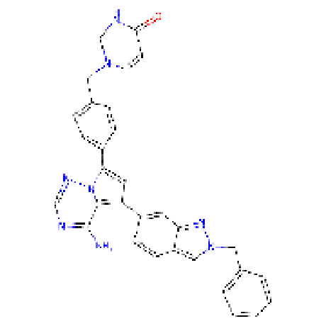 Nc1ncnn2c(-c3ccc(CN4C=CC(=O)NC4)cc3)cc(-c3ccc4cn(Cc5ccccc5)nc4c3)c12